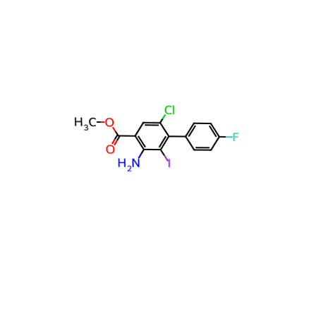 COC(=O)c1cc(Cl)c(-c2ccc(F)cc2)c(I)c1N